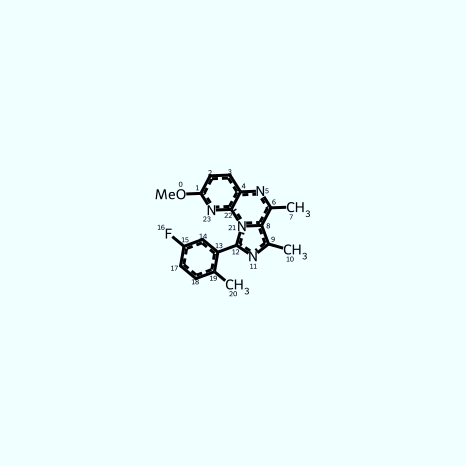 COc1ccc2nc(C)c3c(C)nc(-c4cc(F)ccc4C)n3c2n1